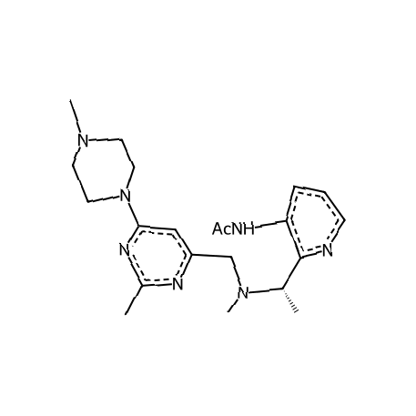 CC(=O)Nc1cccnc1[C@H](C)N(C)Cc1cc(N2CCN(C)CC2)nc(C)n1